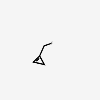 FCC1=CC1